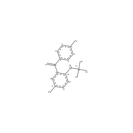 C=C(c1ccc(C)cc1)c1cc(C)ccc1O[Si](C)(C)C